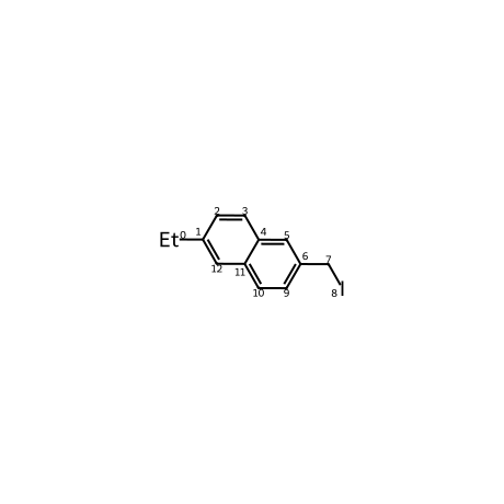 CCc1ccc2cc(CI)ccc2c1